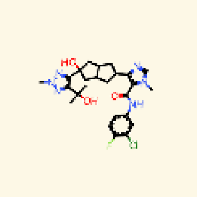 Cn1nc(C(C)(C)O)c(C2(O)CC3CC(c4ncn(C)c4C(=O)Nc4ccc(F)c(Cl)c4)CC3C2)n1